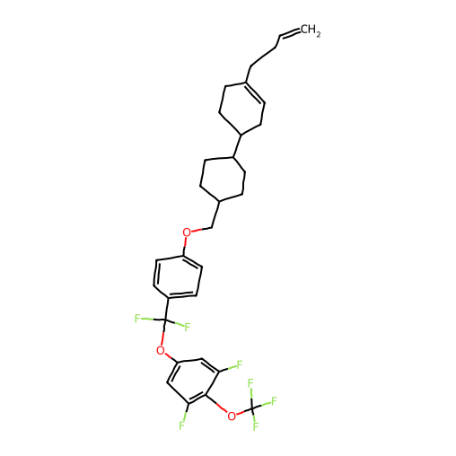 C=CCCC1=CCC(C2CCC(COc3ccc(C(F)(F)Oc4cc(F)c(OC(F)(F)F)c(F)c4)cc3)CC2)CC1